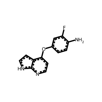 Nc1ccc(Oc2ccnc3[nH]ccc23)cc1F